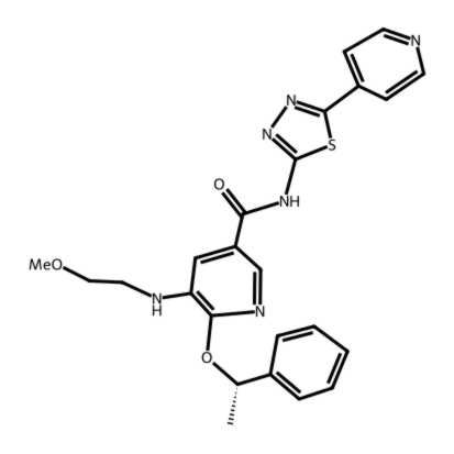 COCCNc1cc(C(=O)Nc2nnc(-c3ccncc3)s2)cnc1O[C@@H](C)c1ccccc1